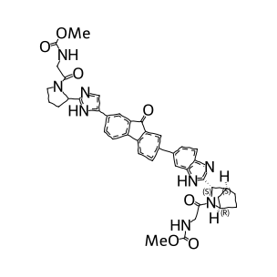 COC(=O)NCC(=O)N1CCCC1c1ncc(-c2ccc3c(c2)C(=O)c2cc(-c4ccc5nc([C@@H]6[C@H]7CC[C@H](C7)N6C(=O)CNC(=O)OC)[nH]c5c4)ccc2-3)[nH]1